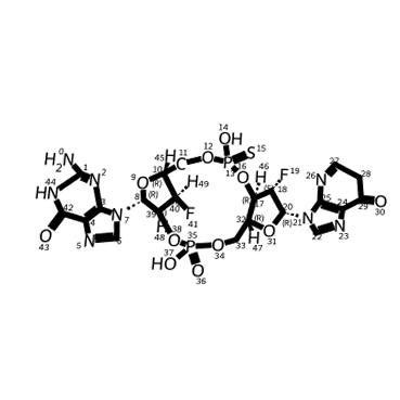 Nc1nc2c(ncn2[C@@H]2O[C@@H]3COP(O)(=S)O[C@H]4[C@H](F)[C@H](n5cnc6c5N=CCC6=O)O[C@@H]4COP(=O)(O)O[C@@H]2[C@@H]3F)c(=O)[nH]1